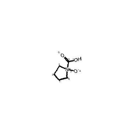 O=C(O)[N+]1([O-])CCCC1